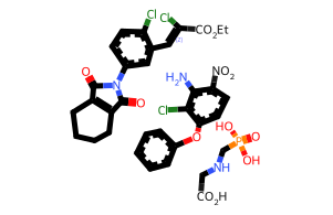 CCOC(=O)/C(Cl)=C/c1cc(N2C(=O)C3=C(CCCC3)C2=O)ccc1Cl.Nc1c([N+](=O)[O-])ccc(Oc2ccccc2)c1Cl.O=C(O)CNCP(=O)(O)O